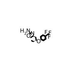 CC[C@H](C[C@H]1COC(N)=N1)Oc1ccc(C(F)(F)F)cc1